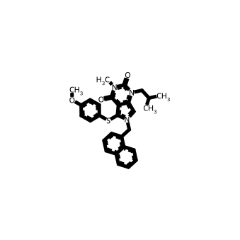 COc1ccc(Sc2c3c(=O)n(C)c(=O)n(CC(C)C)c3cn2Cc2cccc3ccccc23)cc1